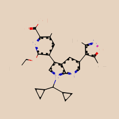 CCOc1nc(C(=O)O)c(C)cc1-c1cn(C(C2CC2)C2CC2)c2ncc(-c3c(C)noc3C)cc12